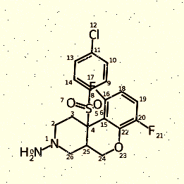 NN1CCC2(S(=O)(=O)c3ccc(Cl)cc3)c3c(F)ccc(F)c3OCC2C1